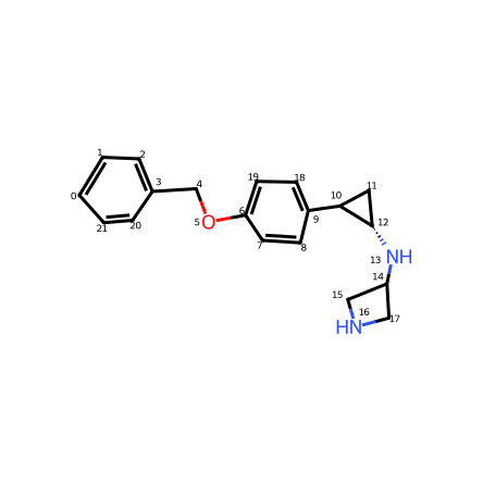 c1ccc(COc2ccc(C3C[C@@H]3NC3CNC3)cc2)cc1